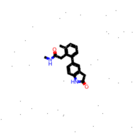 CNC(=O)Cc1c(C)cccc1-c1ccc2c(c1)CC(=O)N2